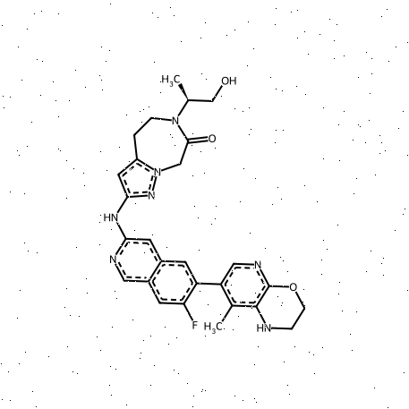 Cc1c(-c2cc3cc(Nc4cc5n(n4)CC(=O)N([C@@H](C)CO)CC5)ncc3cc2F)cnc2c1NCCO2